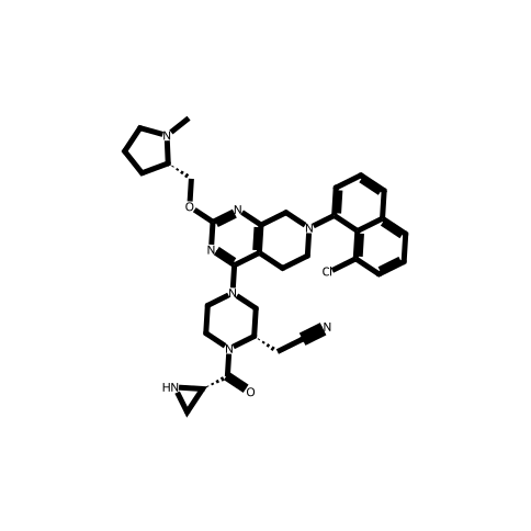 CN1CCC[C@H]1COc1nc2c(c(N3CCN(C(=O)[C@@H]4CN4)[C@@H](CC#N)C3)n1)CCN(c1cccc3cccc(Cl)c13)C2